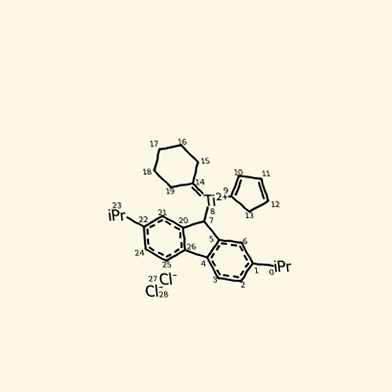 CC(C)c1ccc2c(c1)[CH]([Ti+2]([C]1=CC=CC1)=[C]1CCCCC1)c1cc(C(C)C)ccc1-2.[Cl-].[Cl-]